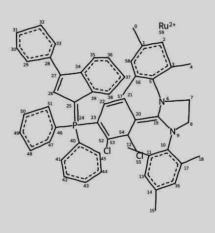 Cc1cc(C)c(N2CCN(c3c(C)cc(C)cc3C)C2=C2C=CC(P(=C3C=C(c4ccccc4)c4ccccc43)(c3ccccc3)c3ccccc3)=C(Cl)C2Cl)c(C)c1.[Ru+2]